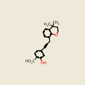 CC1(C)CCOc2c(CC#Cc3ccc(C(=O)O)c(O)c3)cccc21